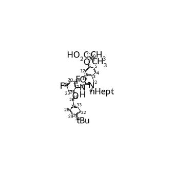 CCCCCCCN(Cc1ccc(OC(C)(C)C(=O)O)cc1)C(=O)Nc1c(F)cc(F)cc1OCc1ccc(C(C)(C)C)cc1